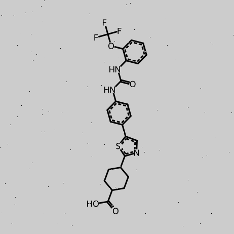 O=C(Nc1ccc(-c2cnc(C3CCC(C(=O)O)CC3)s2)cc1)Nc1ccccc1OC(F)(F)F